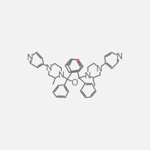 CC1CN(c2ccncc2)CCN1C(OC(c1ccccc1)(c1ccccc1)N1CCN(c2ccncc2)CC1C)(c1ccccc1)c1ccccc1